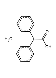 O.O=C(O)C(c1ccccc1)c1ccccc1